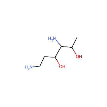 CC(O)C(N)C(O)CCN